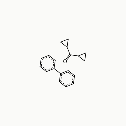 O=C(C1CC1)C1CC1.c1ccc(-c2ccccc2)cc1